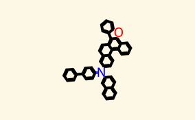 c1ccc(-c2ccc(N(c3ccc4ccccc4c3)c3ccc4c(ccc5c4c4ccccc4c4oc6ccccc6c54)c3)cc2)cc1